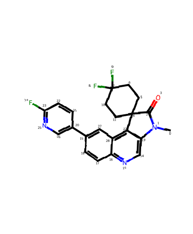 CN1C(=O)C2(CCC(F)(F)CC2)c2c1cnc1ccc(-c3ccc(F)nc3)cc21